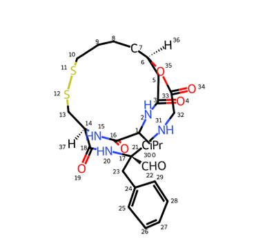 CC(C)C1NC(=O)C[C@H]2CCCCSSC[C@@H](NC1=O)C(=O)N[C@@](C=O)(Cc1ccccc1)CNCC(=O)O2